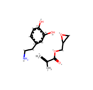 C=C(C)C(=O)OCC1CO1.NCCc1ccc(O)c(O)c1